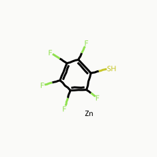 Fc1c(F)c(F)c(S)c(F)c1F.[Zn]